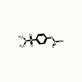 CN(C)S(=O)(=O)c1ccc(O[PH](O)=S)cc1